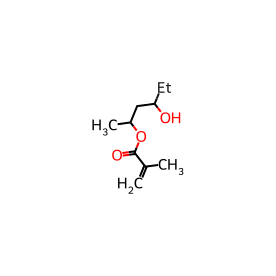 [CH2]CC(O)CC(C)OC(=O)C(=C)C